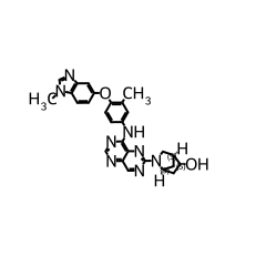 Cc1cc(Nc2ncnc3cnc(N4C[C@@H]5C[C@H]4C[C@@H]5O)nc23)ccc1Oc1ccc2c(c1)ncn2C